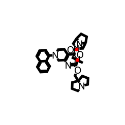 CC(C)(C)OC(=O)N1C2CCC1CN(c1nc(OCC34CCCN3CCC4)nc3c1CCN(c1cccc4ccccc14)C3)C2